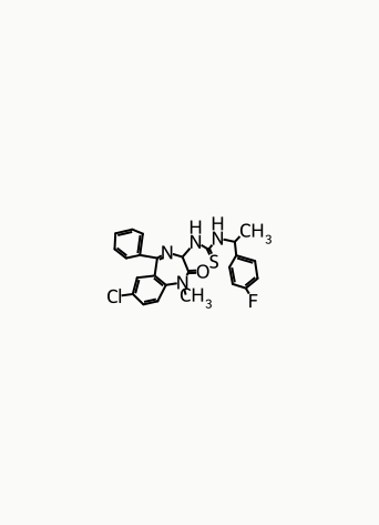 CC(NC(=S)NC1N=C(c2ccccc2)c2cc(Cl)ccc2N(C)C1=O)c1ccc(F)cc1